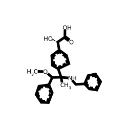 COC(c1ccccc1)C(C)(NCc1ccccc1)c1ccc([C@H](O)C(=O)O)cc1